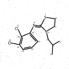 CC(C)CN1CCSC1=Nc1cccc(Cl)c1Cl